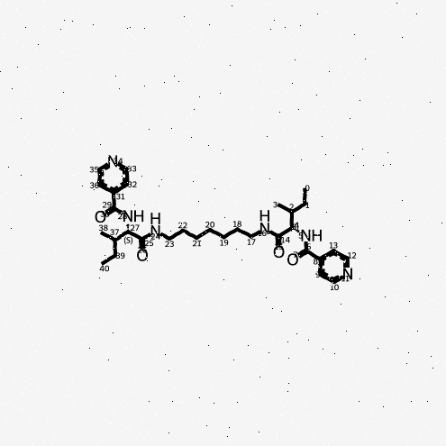 CCC(C)[C@H](NC(=O)c1ccncc1)C(=O)NCCCCCCCNC(=O)[C@@H](NC(=O)c1ccncc1)C(C)CC